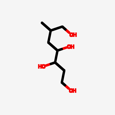 CC(CO)CC(O)C(O)CCO